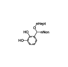 CCCCCCCCCC(OCCCCCCC)c1cccc(O)c1O